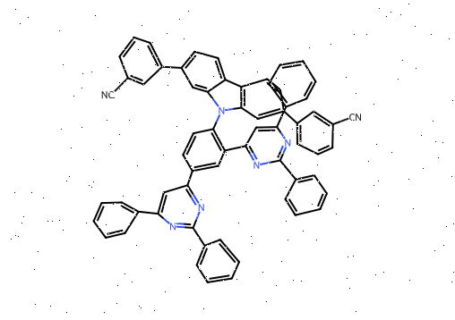 N#Cc1cccc(-c2ccc3c4ccc(-c5cccc(C#N)c5)cc4n(-c4ccc(-c5cc(-c6ccccc6)nc(-c6ccccc6)n5)cc4-c4cc(-c5ccccc5)nc(-c5ccccc5)n4)c3c2)c1